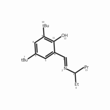 CCC(/N=C/c1cc(C(C)(C)C)cc(C(C)(C)C)c1O)C(C)C